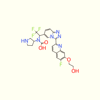 O=C(O)N([C@H]1CCNC1)[C@H](c1ccc2nnc(-c3ccc4cc(F)c(OCCO)cc4n3)n2c1)C(F)(F)F